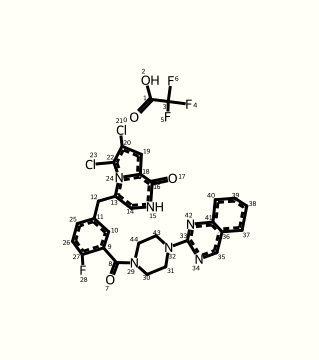 O=C(O)C(F)(F)F.O=C(c1cc(Cc2c[nH]c(=O)c3cc(Cl)c(Cl)n23)ccc1F)N1CCN(c2ncc3ccccc3n2)CC1